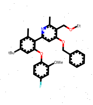 CCOCc1c(OCc2ccccc2)cc(-c2c(C)cc(C(C)(C)C)cc2Oc2ccc(F)cc2OC)nc1C